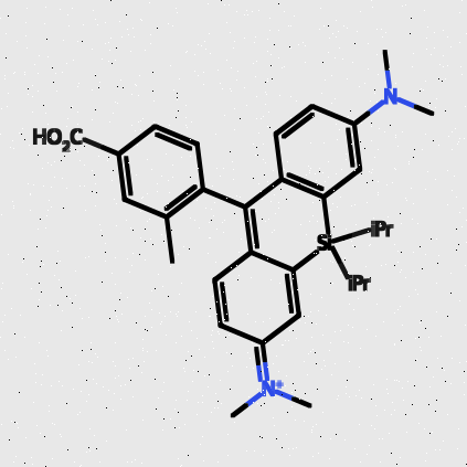 Cc1cc(C(=O)O)ccc1C1=C2C=CC(=[N+](C)C)C=C2[Si](C(C)C)(C(C)C)c2cc(N(C)C)ccc21